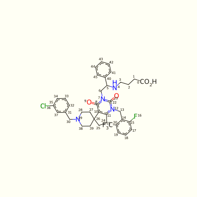 O=C(O)CCCNC(Cn1c(=O)c2c(n(Cc3c(F)cccc3C(F)(F)F)c1=O)CCC21CCN(Cc2cccc(Cl)c2)CC1)c1ccccc1